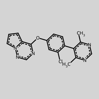 Cc1ncnc(C)c1-c1ccc(Oc2ncnn3cccc23)cc1Cl